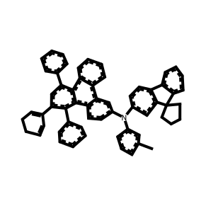 Cc1cccc(N(c2ccc3c(c2)C2(CCCC2)c2ccccc2-3)c2ccc3c(c2)c2ccccc2c2c(-c4ccccc4)cc(C4=CCCC=C4)c(-c4ccccc4)c32)c1